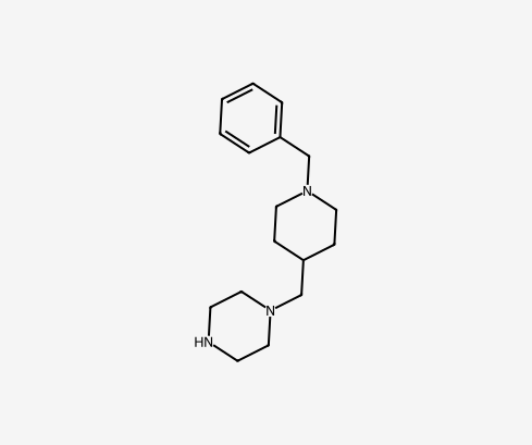 c1ccc(CN2CCC(CN3CCNCC3)CC2)cc1